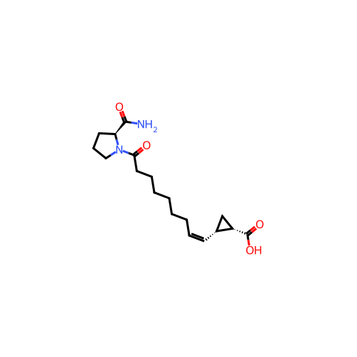 NC(=O)[C@@H]1CCCN1C(=O)CCCCCC/C=C\[C@@H]1C[C@@H]1C(=O)O